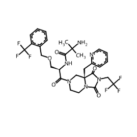 CC(C)(N)C(=O)N[C@H](COCc1ccccc1C(F)(F)F)C(=O)N1CCN2C(=O)N(CC(F)(F)F)C(=O)[C@@]2(Cc2ccccn2)C1